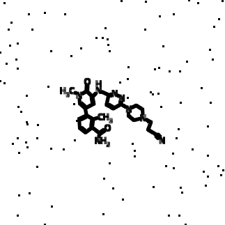 Cc1c(C(N)=O)cccc1-c1cc(Nc2ccc(N3CCN(CCC#N)CC3)nn2)c(=O)n(C)c1